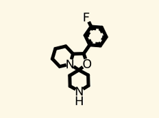 Fc1cccc(C2OC3(CCNCC3)N3CCCCC23)c1